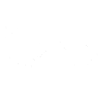 [2H]N(C(=O)c1sccc1S(=O)(=O)N([2H])c1onc(C([2H])([2H])[2H])c1C([2H])([2H])[2H])c1c(C(=O)C([2H])([2H])[2H])cc(C([2H])([2H])[2H])cc1C([2H])([2H])[2H]